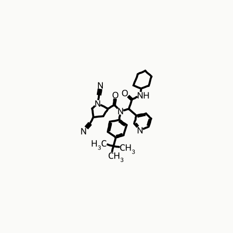 CC(C)(C)c1ccc(N(C(=O)C2CC(C#N)CN2C#N)C(C(=O)NC2CCCCC2)c2cccnc2)cc1